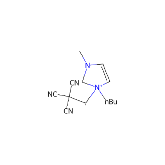 CCCC[N+]1([CH]C(C#N)(C#N)C#N)C=CN(C)C1